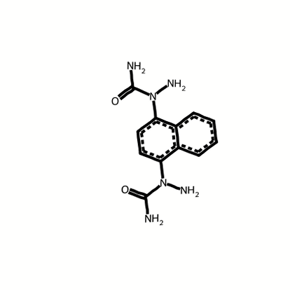 NC(=O)N(N)c1ccc(N(N)C(N)=O)c2ccccc12